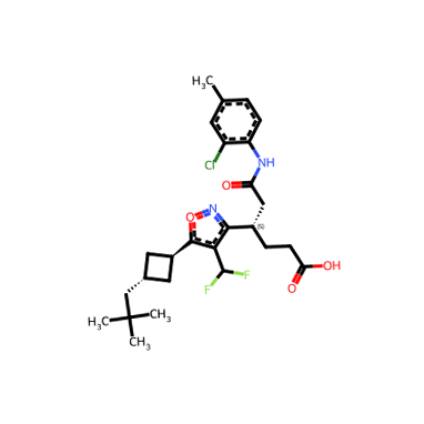 Cc1ccc(NC(=O)C[C@H](CCC(=O)O)c2noc([C@H]3C[C@H](CC(C)(C)C)C3)c2C(F)F)c(Cl)c1